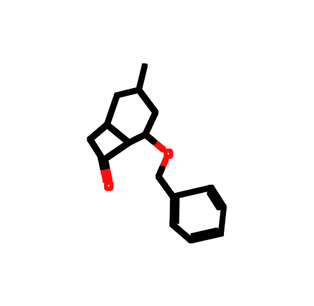 CC1CC2CC(=O)C2C(OCc2ccccc2)C1